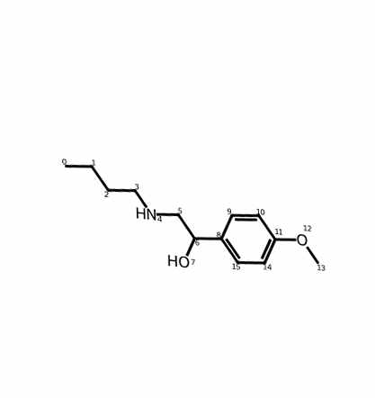 CCCCNCC(O)c1ccc(OC)cc1